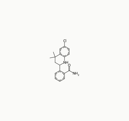 CC1(C)CC(c2ccccc2C(N)=O)Nc2ccc(Cl)cc21